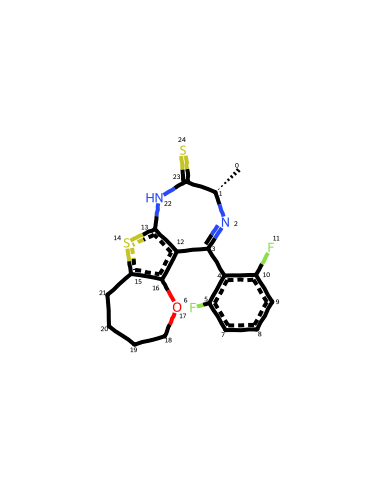 C[C@@H]1N=C(c2c(F)cccc2F)c2c(sc3c2OCCCC3)NC1=S